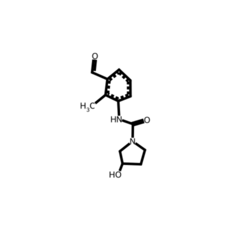 Cc1c(C=O)cccc1NC(=O)N1CCC(O)C1